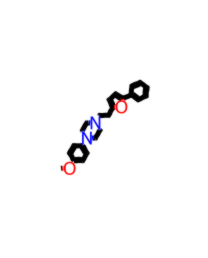 COc1ccc(N2CCN(CCc3ccc(-c4ccccc4)o3)CC2)cc1